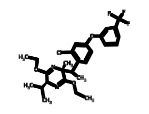 CCOC1=N[C@](C)(C(C)c2ccc(Oc3cccc(C(F)(F)F)c3)cc2Cl)C(OCC)=N[C@H]1C(C)C